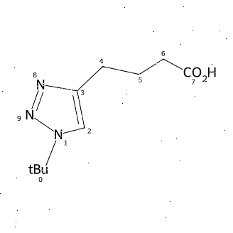 CC(C)(C)n1cc(CCCC(=O)O)nn1